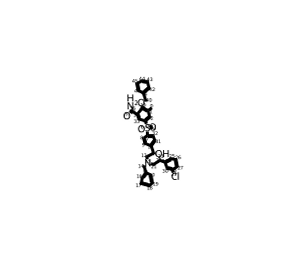 Cc1cc(S(=O)(=O)c2ccc(CCN(Cc3ccccc3)C[C@H](O)c3cccc(Cl)c3)cc2)cc(C(N)=O)c1OCc1ccccc1